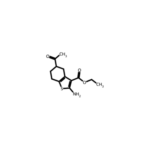 CCOC(=O)c1c(N)sc2c1CC(C(C)=O)CC2